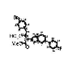 COC(=O)N(c1cc2cc(-c3ccc(F)cc3)ccc2o1)[C@H](Cc1ccc(Br)cc1)C(=O)O